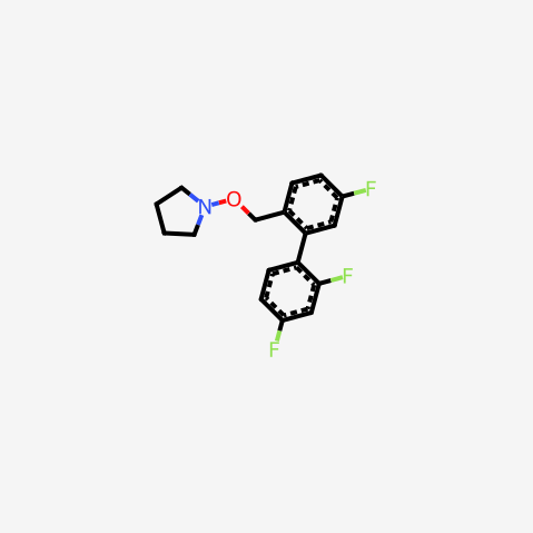 Fc1ccc(-c2cc(F)ccc2CON2CCCC2)c(F)c1